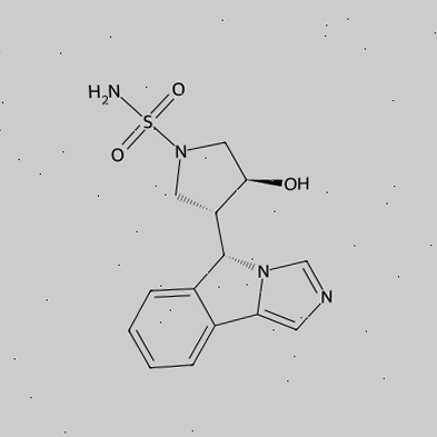 NS(=O)(=O)N1C[C@@H]([C@H]2c3ccccc3-c3cncn32)[C@H](O)C1